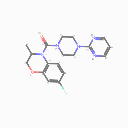 CC1COc2cc(F)ccc2N1C(=O)N1CCN(c2ncccn2)CC1